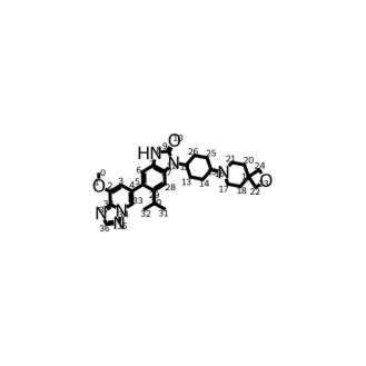 COc1cc(-c2cc3[nH]c(=O)n(C4CCC(N5CCC6(CC5)COC6)CC4)c3cc2C(C)C)cn2ncnc12